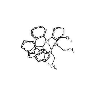 CC[N](CC)[Zr]([N](CC)CC)[Sn]([c]1ccccc1)([c]1ccccc1C1C=Cc2ccccc21)[CH]1C=Cc2ccccc21